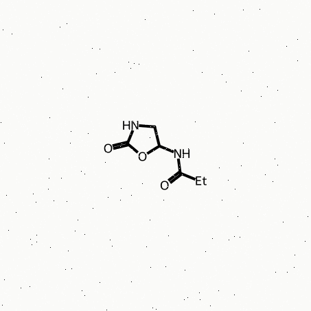 CCC(=O)NC1CNC(=O)O1